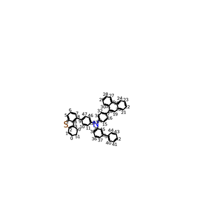 C1=Cc2sc3cccc(-c4ccc(N(c5ccc(-c6cc7ccccc7c7ccccc67)cc5)c5cccc(-c6ccccc6)c5)cc4)c3c2CC1